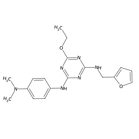 CCOc1nc(NCc2ccco2)nc(Nc2ccc(N(C)C)cc2)n1